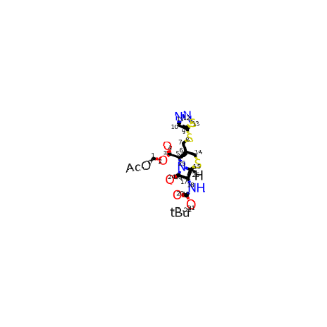 CC(=O)OCOC(=O)C1=C(CSc2cnns2)CS[C@@H]2C(NC(=O)OC(C)(C)C)C(=O)N12